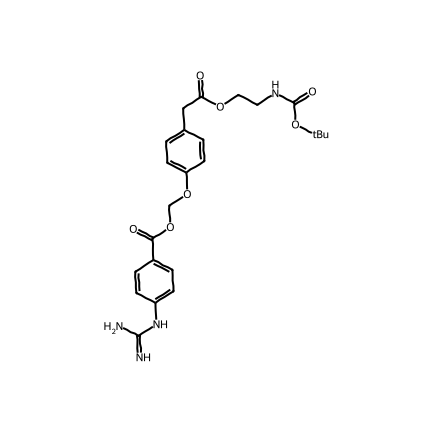 CC(C)(C)OC(=O)NCCOC(=O)Cc1ccc(OCOC(=O)c2ccc(NC(=N)N)cc2)cc1